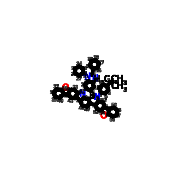 CC(C)(C)c1ccc(N2B3c4cc5nc(-c6ccccc6)n(-c6ccccc6)c5cc4-n4c5cc6oc7ccccc7c6cc5c5ccc(c3c54)-c3cc4oc5ccccc5c4cc32)cc1